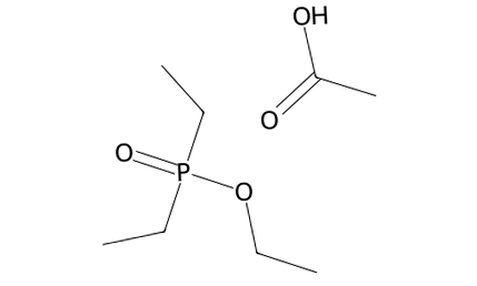 CC(=O)O.CCOP(=O)(CC)CC